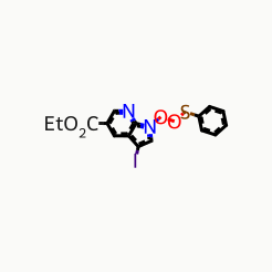 CCOC(=O)c1cnc2c(c1)c(I)cn2OOSc1ccccc1